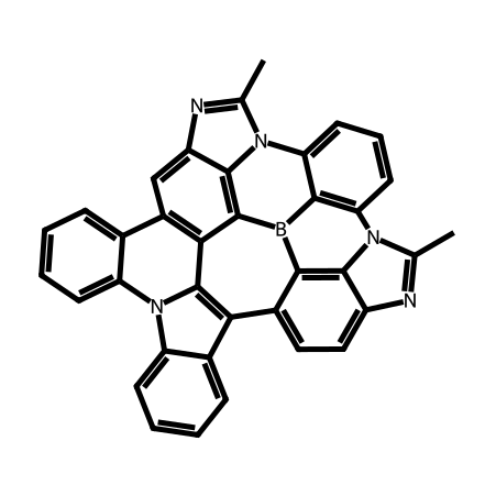 Cc1nc2ccc3c4c2n1-c1cccc2c1B4c1c4c(cc5nc(C)n-2c15)c1ccccc1n1c2ccccc2c-3c41